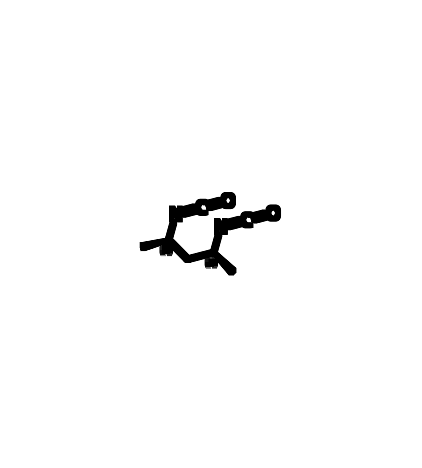 C[C@H](C[C@H](C)N=C=O)N=C=O